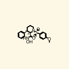 COc1ccc(S(=O)(=O)N2CCC[C@H](c3ccccc3)[C@@H]2C(=O)NO)cc1